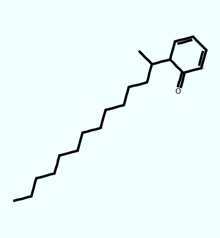 CCCCCCCCCCCCC(C)C1C=CC=[C]C1=O